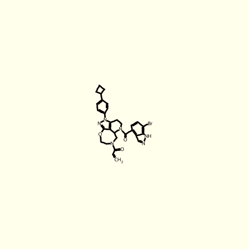 C=CC(=O)N1CCOc2nn(-c3ccc(C4CCC4)cc3)c3c2C(C1)N(C(=O)c1ccc(Br)c2[nH]ncc12)CC3